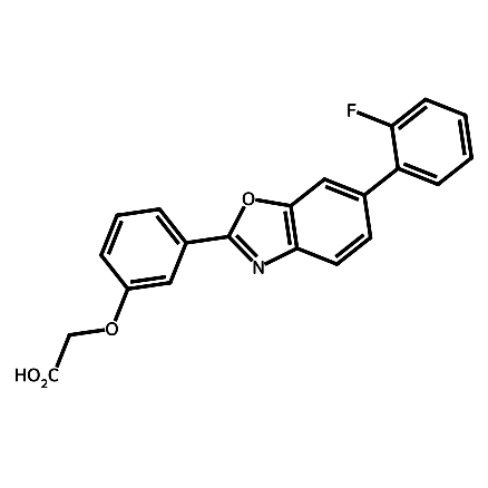 O=C(O)COc1cccc(-c2nc3ccc(-c4ccccc4F)cc3o2)c1